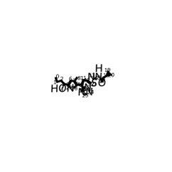 CCC[C@H](O)c1cc(C)c(-c2cc3nc(NC(=O)C4CC4)sc3n3ncnc23)cn1